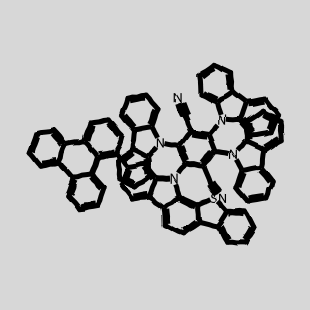 N#Cc1c(-n2c3ccccc3c3ccccc32)c(-n2c3ccccc3c3ccccc32)c(C#N)c(-n2c3cc(-c4cccc5c6ccccc6c6ccccc6c45)ccc3c3ccc4c5ccccc5sc4c32)c1-n1c2ccccc2c2ccccc21